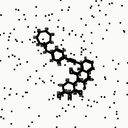 Cc1nc2cccc(C#Cc3ccc(CN4CCCCCC4)cn3)c2c(=O)n1C1CCC(=O)NC1=O